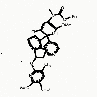 COC1=C(N(C)C(=O)OC(C)(C)C)C=C(Cl)C(c2ccncc2)(c2cccc3c2CCC3Oc2nc(OC)c(C=O)cc2C(F)(F)F)N1